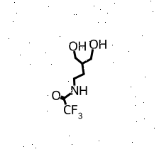 O=C(NCCC(CO)CO)C(F)(F)F